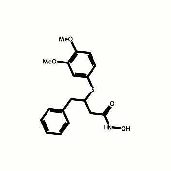 COc1ccc(SC(CC(=O)NO)Cc2ccccc2)cc1OC